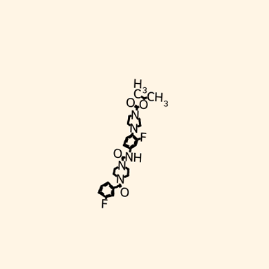 CC(C)OC(=O)N1CCN(c2ccc(NC(=O)N3CCN(C(=O)c4cccc(F)c4)CC3)cc2F)CC1